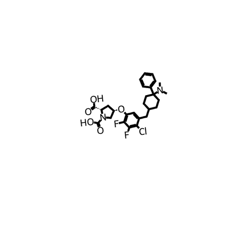 CN(C)C1(c2ccccc2)CCC(Cc2cc(O[C@H]3C[C@@H](C(=O)O)N(C(=O)O)C3)c(F)c(F)c2Cl)CC1